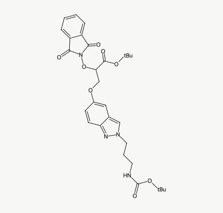 CC(C)(C)OC(=O)NCCCn1cc2cc(OCC(ON3C(=O)c4ccccc4C3=O)C(=O)OC(C)(C)C)ccc2n1